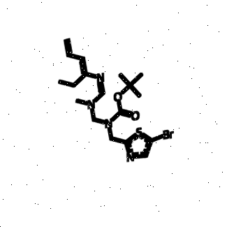 C=C/C=C(CC)/N=C\N(C)CN(Cc1ncc(Br)s1)C(=O)OC(C)(C)C